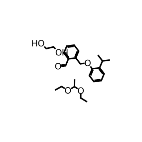 CC(C)c1ccccc1OCc1ccccc1C=O.CCOC(C)OCC.OCCO